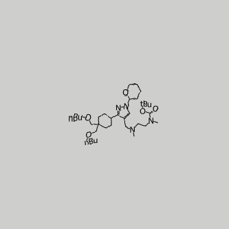 CCCCOCC1(COCCCC)CCC(c2nn(C3CCCCO3)cc2CN(C)CCN(C)C(=O)OC(C)(C)C)CC1